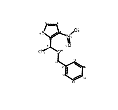 O=[N+]([O-])c1ccsc1[C@H](Cl)SCc1ccccc1